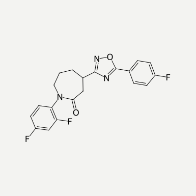 O=C1CC(c2noc(-c3ccc(F)cc3)n2)CCCN1c1ccc(F)cc1F